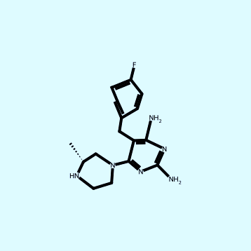 C[C@@H]1CN(c2nc(N)nc(N)c2Cc2ccc(F)cc2)CCN1